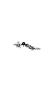 COCCS(=O)(=O)N1CCN(c2ncc(-c3cccc(COC(=O)NC(=N)N)c3F)cn2)CC1